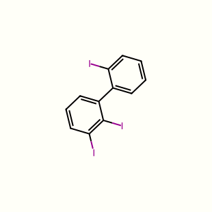 Ic1ccccc1-c1cccc(I)c1I